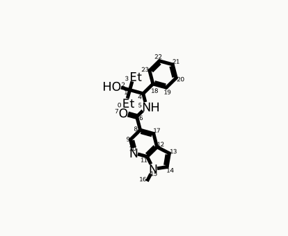 CCC(O)(CC)C(NC(=O)c1cnc2c(ccn2C)c1)c1ccccc1